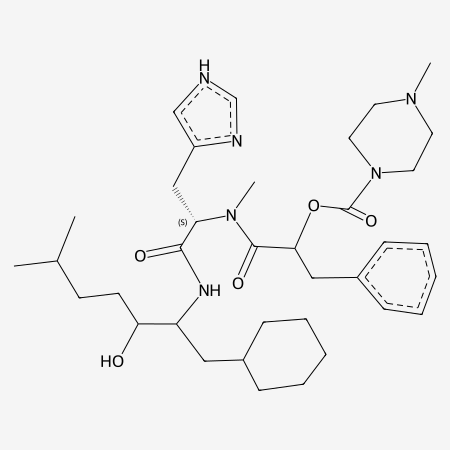 CC(C)CCC(O)C(CC1CCCCC1)NC(=O)[C@H](Cc1c[nH]cn1)N(C)C(=O)C(Cc1ccccc1)OC(=O)N1CCN(C)CC1